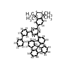 CC1(C)CCC(C)(C)c2cc(-c3nc(-c4cccc(-c5ccccc5)c4)nc(-c4cccc5c4-c4ccccc4C54c5ccccc5-c5ccccc54)n3)ccc21